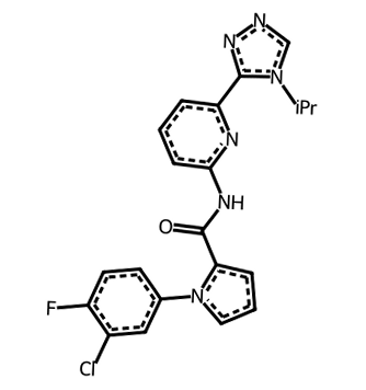 CC(C)n1cnnc1-c1cccc(NC(=O)c2cccn2-c2ccc(F)c(Cl)c2)n1